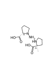 C[C@@]1(C(=O)O)CCCN1.NN1CCC[C@H]1C(=O)O